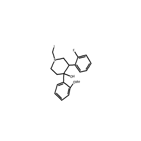 COc1ccccc1C1(O)CCN(CI)CC1c1ccccc1F